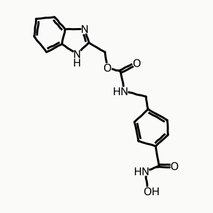 O=C(NCc1ccc(C(=O)NO)cc1)OCc1nc2ccccc2[nH]1